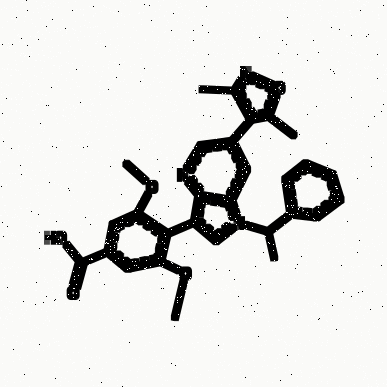 COc1cc(C(=O)O)cc(OC)c1-c1cn(C(C)c2ccccc2)c2cc(-c3c(C)noc3C)cnc12